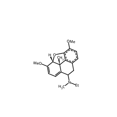 CCN(C)C1Cc2ccc(OC)c3c2[C@]2(C)C1=CC=C(OC)[C@@H]2O3